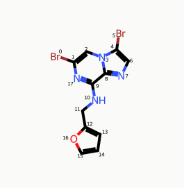 Brc1cn2c(Br)cnc2c(NCc2ccco2)n1